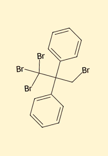 BrCC(c1ccccc1)(c1ccccc1)C(Br)(Br)Br